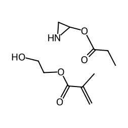 C=C(C)C(=O)OCCO.CCC(=O)OC1CN1